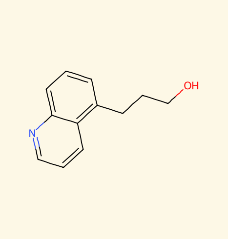 OCCCc1cccc2ncccc12